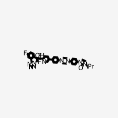 CC(C)n1ccn(-c2ccc(N3CCN(c4ccc(-c5ccc(C(F)(F)[C@]6(O)Cn7nnnc7-c7cc(F)ccc76)nc5)cc4)CC3)cc2)c1=O